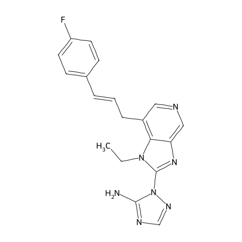 CCn1c(-n2ncnc2N)nc2cncc(CC=Cc3ccc(F)cc3)c21